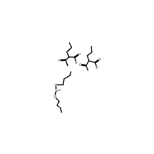 CCCC(C(C)=O)C(=O)[O-].CCCC(C(C)=O)C(=O)[O-].CCCC[O][Sn+2][O]CCCC